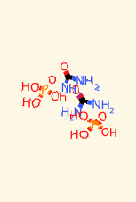 NC(N)=O.NC(N)=O.O=P(O)(O)O.O=P(O)(O)O